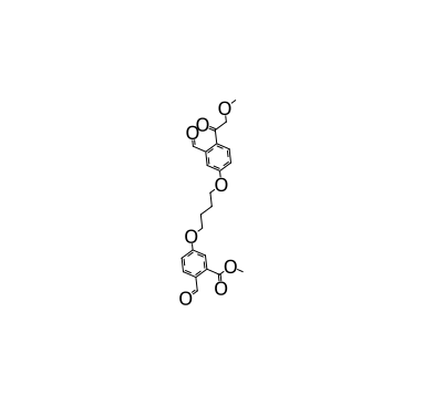 COCC(=O)c1ccc(OCCCCOc2ccc(C=O)c(C(=O)OC)c2)cc1C=O